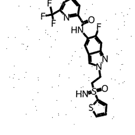 N=S(=O)(CCn1cc2cc(NC(=O)c3cccc(C(F)(F)F)n3)c(F)cc2n1)c1cccs1